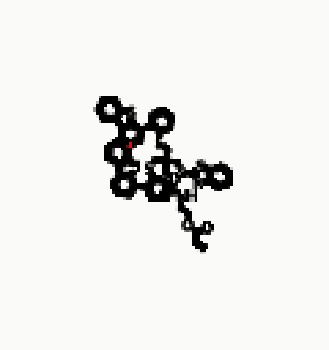 C=CC(=O)OCCNC(=O)OCC(CSc1nc2ccccc2s1)(CSc1ccccc1-c1cccc2c1sc1ccccc12)CSc1ccccc1-c1cccc2c1sc1ccccc12